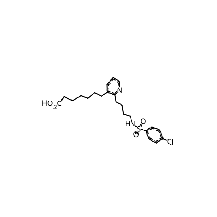 O=C(O)CCCCCCc1cccnc1CCCCNS(=O)(=O)c1ccc(Cl)cc1